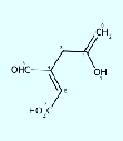 C=C(O)C/C(C=O)=C/C(=O)O